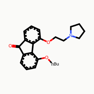 CCCCOc1cccc2c1-c1c(OCCN3CCCC3)cccc1C2=O